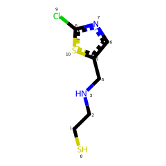 SCCNCc1cnc(Cl)s1